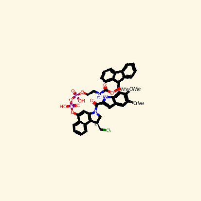 COc1cc2cc(C(=O)N3C[C@@H](CCl)c4c3cc(OP(=O)(O)OP(=O)(O)OCCNC(=O)OCC3c5ccccc5-c5ccccc53)c3ccccc43)[nH]c2c(OC)c1OC